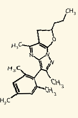 CCCC1Cc2c(C)nc3c(-c4c(C)cc(C)cc4C)c(C)nn3c2O1